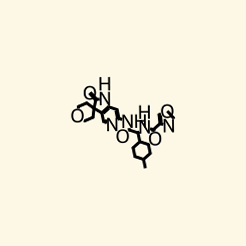 CC1CCC(C(NC(=O)c2cocn2)C(=O)Nc2cc3c(cn2)C2(CCOCC2)C(=O)N3)CC1